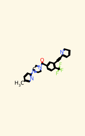 Cc1ccc(N2CCN(C(=O)c3ccc(C(F)(F)F)c(C#Cc4ccccn4)c3)CC2)nc1